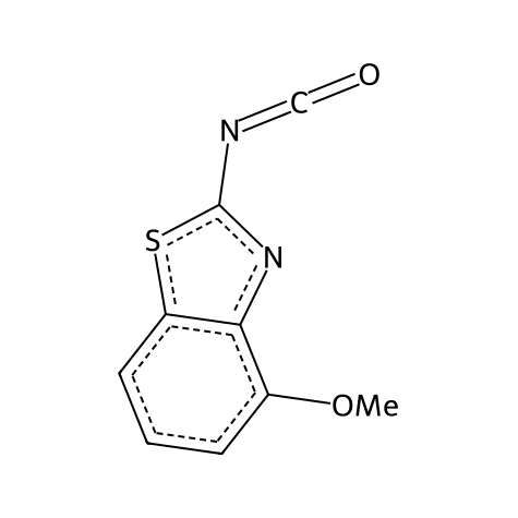 COc1cccc2sc(N=C=O)nc12